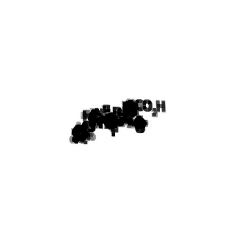 Cc1ccc(COc2nc(-c3cc(F)c(Cc4nc5ccc(C(=O)O)cc5n4C[C@@H]4CCO4)c(F)c3F)ncc2F)c(F)c1